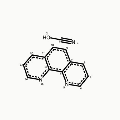 N#CO.c1cnc2c(c1)ccc1cccnc12